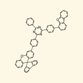 c1ccc(-c2nc(-c3ccc(-c4ccc5c(c4)Oc4ccccc4C54c5ccccc5-c5ccccc54)cc3)nc(-c3ccc(-c4cccc5c4oc4ccccc45)cc3)n2)cc1